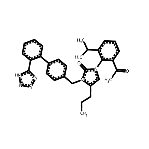 CCCc1cn(-c2c(C(C)=O)cccc2C(C)C)c(=O)n1Cc1ccc(-c2ccccc2-c2nnn[nH]2)cc1